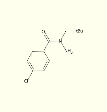 CC(C)(C)CN(N)C(=O)c1ccc(Cl)cc1